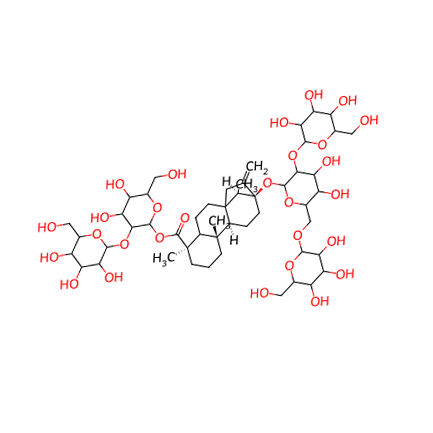 C=C1CC23CCC4[C@](C)(C(=O)OC5OC(CO)C(O)C(O)C5OC5OC(CO)C(O)C(O)C5O)CCC[C@@]4(C)[C@@H]2CC[C@]1(OC1OC(COC2OC(CO)C(O)C(O)C2O)C(O)C(O)C1OC1OC(CO)C(O)C(O)C1O)[C@@H]3C